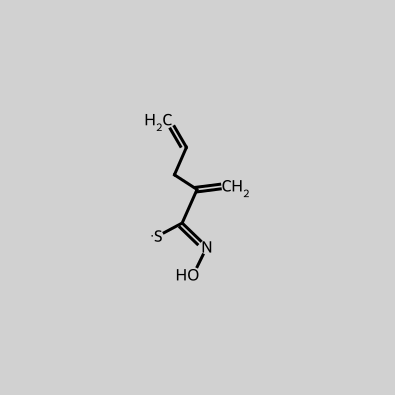 C=CCC(=C)/C([S])=N/O